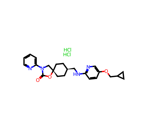 Cl.Cl.O=C1O[C@]2(CC[C@H](CNc3ccc(OCC4CC4)cn3)CC2)CN1c1ccccn1